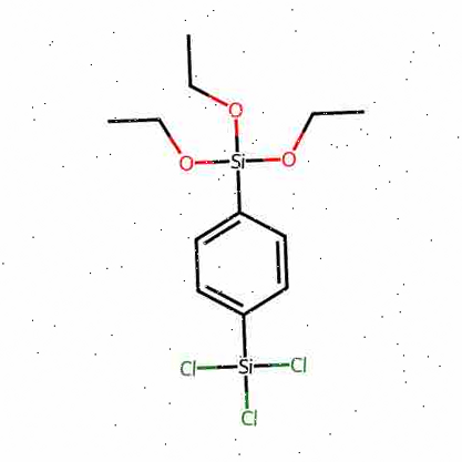 CCO[Si](OCC)(OCC)c1ccc([Si](Cl)(Cl)Cl)cc1